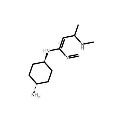 C=N/C(=C\C(C)NC)N[C@H]1CC[C@H](N)CC1